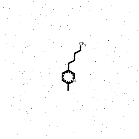 Cc1ccc(CCCCC(F)(F)F)cn1